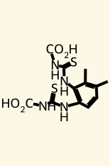 Cc1ccc(NC(=S)NC(=O)O)c(NC(=S)NC(=O)O)c1C